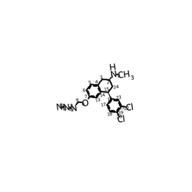 CN[C@@H]1Cc2ccc(OCN=[N+]=[N-])cc2[C@H](c2ccc(Cl)c(Cl)c2)C1